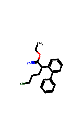 CCOC(=N)C(CCCCl)c1ccccc1-c1ccccc1